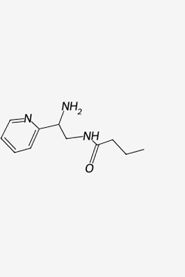 CCCC(=O)NCC(N)c1ccccn1